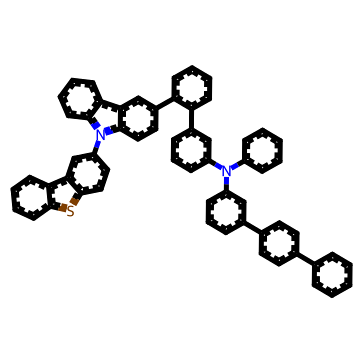 c1ccc(-c2ccc(-c3cccc(N(c4ccccc4)c4cccc(-c5ccccc5-c5ccc6c(c5)c5ccccc5n6-c5ccc6sc7ccccc7c6c5)c4)c3)cc2)cc1